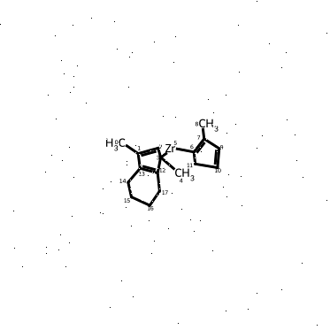 CC1=C[C](C)([Zr][C]2=C(C)C=CC2)C2=C1CCCC2